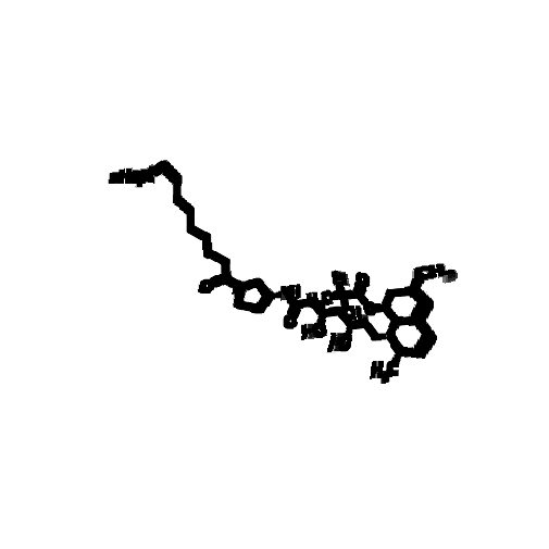 CCCCCCC/C=C\CCCCCCC(=O)N1CC[C@@H](NC(=O)C[C@H](O)C[C@@H](O)CC[C@@H]2C3C(=C[C@H](C)CC3OC(=O)C(C)(C)CC)C=C[C@@H]2C)C1